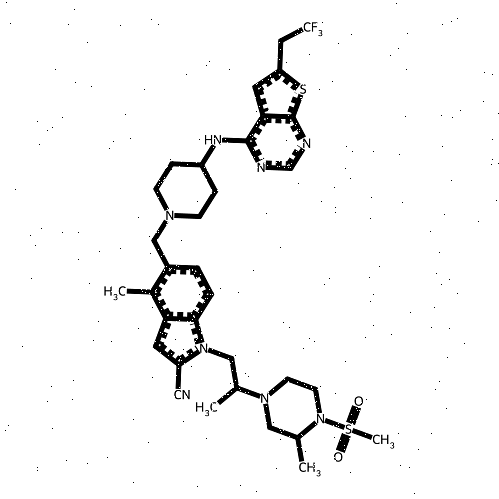 Cc1c(CN2CCC(Nc3ncnc4sc(CC(F)(F)F)cc34)CC2)ccc2c1cc(C#N)n2CC(C)N1CCN(S(C)(=O)=O)C(C)C1